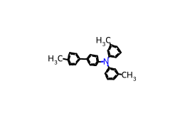 Cc1ccc(-c2ccc(N(c3cccc(C)c3)c3cccc(C)c3)cc2)cc1